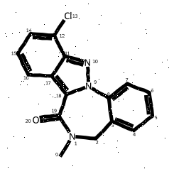 CN1Cc2ccccc2-n2nc3c(Cl)cccc3c2C1=O